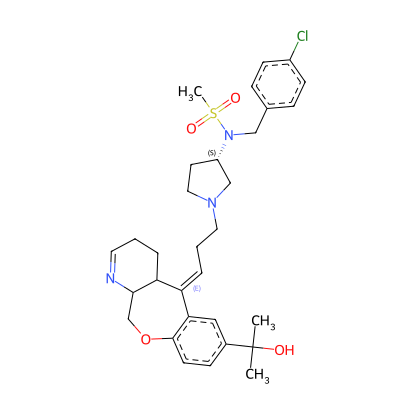 CC(C)(O)c1ccc2c(c1)/C(=C/CCN1CC[C@H](N(Cc3ccc(Cl)cc3)S(C)(=O)=O)C1)C1CCC=NC1CO2